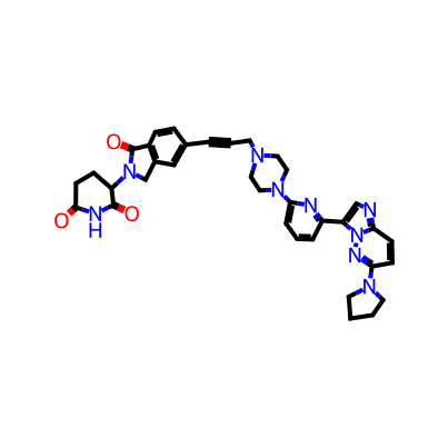 O=C1CCC(N2Cc3cc(C#CCN4CCN(c5cccc(-c6cnc7ccc(N8CCCC8)nn67)n5)CC4)ccc3C2=O)C(=O)N1